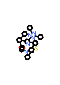 c1ccc(-c2nc(-c3ccccc3)nc(-c3cc(-c4c(-c5ccccc5)cccc4-c4ccccc4)cnc3-c3cccc4sc5cc6c7ccccc7n(-c7ccccc7)c6cc5c34)n2)cc1